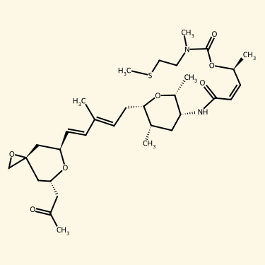 CSCCN(C)C(=O)O[C@@H](C)/C=C\C(=O)N[C@@H]1C[C@H](C)[C@H](C/C=C(C)/C=C/[C@@H]2C[C@]3(CO3)C[C@@H](CC(C)=O)O2)O[C@@H]1C